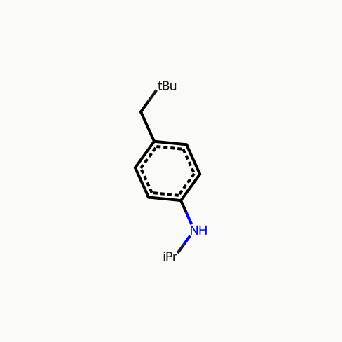 CC(C)Nc1ccc(CC(C)(C)C)cc1